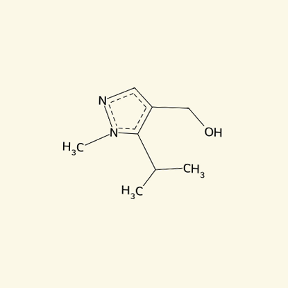 CC(C)c1c(CO)cnn1C